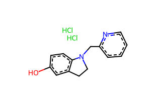 Cl.Cl.Oc1ccc2c(c1)CCN2Cc1ccccn1